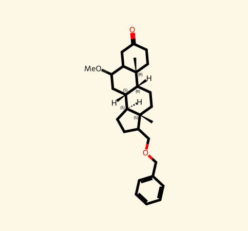 COC1C[C@@H]2[C@@H](CC[C@]3(C)C(COCc4ccccc4)CC[C@@H]23)[C@@]2(C)CCC(=O)CC12